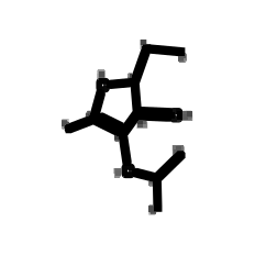 CCC1OC(C)=C(OC(C)C)C1=O